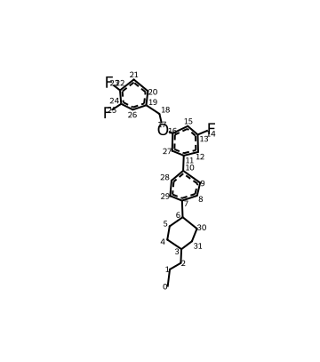 CCCC1CCC(c2ccc(-c3cc(F)cc(OCc4ccc(F)c(F)c4)c3)cc2)CC1